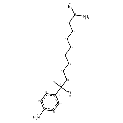 CCC(N)CCCCCCCCC(C)(CC)c1ccc(N)cc1